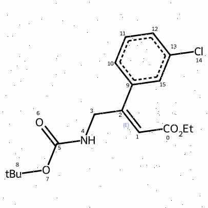 CCOC(=O)/C=C(/CNC(=O)OC(C)(C)C)c1cccc(Cl)c1